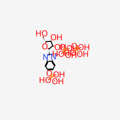 Cn1c([C@@H]2O[C@H](CO)[C@@H](O)[C@H]2O)nc2ccccc21.O=P(O)(O)O.O=P(O)(O)O.O=P(O)(O)O